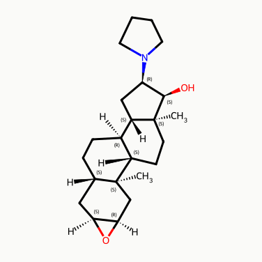 C[C@]12C[C@H]3O[C@H]3C[C@@H]1CC[C@@H]1[C@@H]2CC[C@]2(C)[C@H](O)[C@H](N3CCCC3)C[C@@H]12